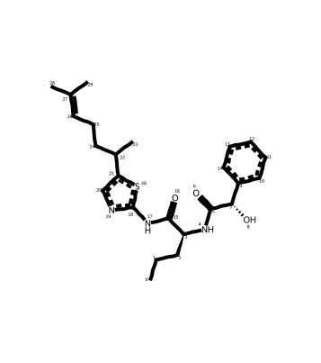 CCC[C@H](NC(=O)[C@@H](O)c1ccccc1)C(=O)Nc1ncc(C(C)CCC=C(C)C)s1